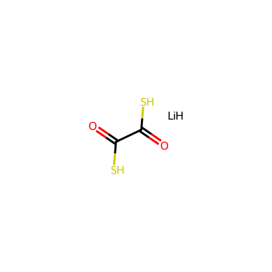 O=C(S)C(=O)S.[LiH]